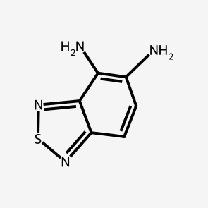 Nc1ccc2nsnc2c1N